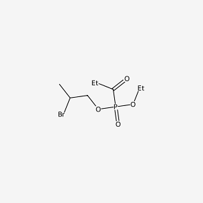 CCOP(=O)(OCC(C)Br)C(=O)CC